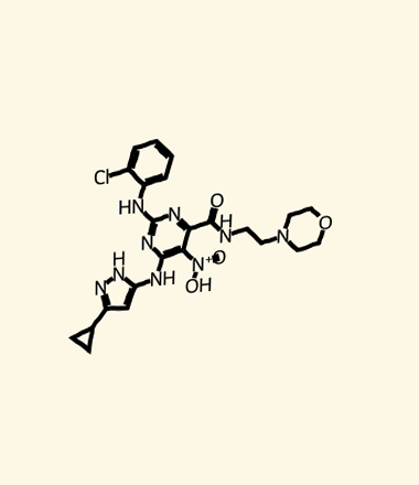 O=C(NCCN1CCOCC1)c1nc(Nc2ccccc2Cl)nc(Nc2cc(C3CC3)n[nH]2)c1[N+](=O)O